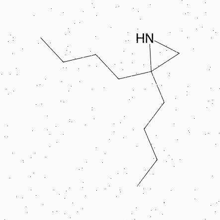 CCCCC1(CCCC)CN1